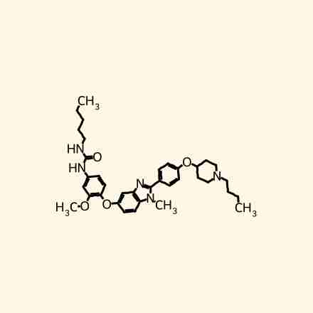 CCCCCNC(=O)Nc1ccc(Oc2ccc3c(c2)nc(-c2ccc(OC4CCN(CCCC)CC4)cc2)n3C)c(OC)c1